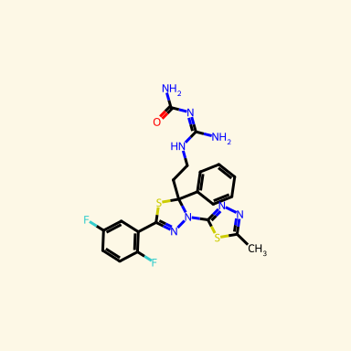 Cc1nnc(N2N=C(c3cc(F)ccc3F)SC2(CCN/C(N)=N\C(N)=O)c2ccccc2)s1